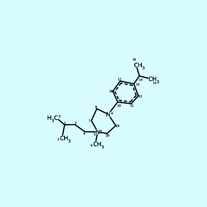 CC(C)CC[N+]1(C)CCN(c2ccc(C(C)C)cc2)CC1